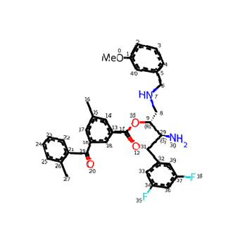 COc1cccc(CNC[C@@H](OC(=O)c2cc(C)cc(C(=O)c3ccccc3C)c2)[C@@H](N)Cc2cc(F)cc(F)c2)c1